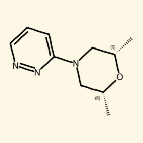 C[C@@H]1CN(c2cccnn2)C[C@H](C)O1